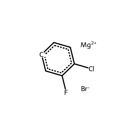 Fc1c[c-]ccc1Cl.[Br-].[Mg+2]